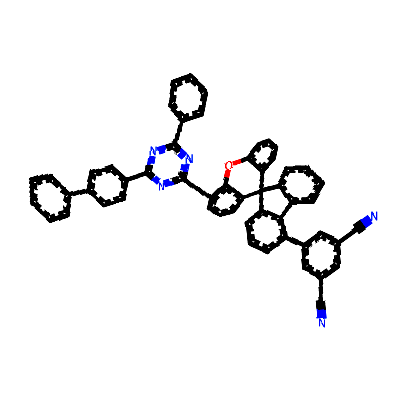 N#Cc1cc(C#N)cc(-c2cccc3c2-c2ccccc2C32c3ccccc3Oc3c(-c4nc(-c5ccccc5)nc(-c5ccc(-c6ccccc6)cc5)n4)cccc32)c1